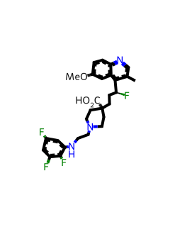 COc1ccc2ncc(C)c([C@@H](F)CCC3(C(=O)O)CCN(CCNc4cc(F)cc(F)c4F)CC3)c2c1